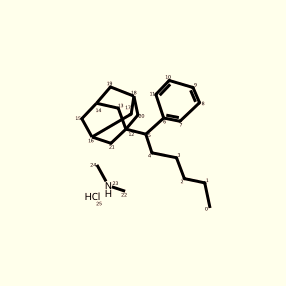 CCCCCC(c1ccccc1)C12CC3CC(CC(C3)C1)C2.CNC.Cl